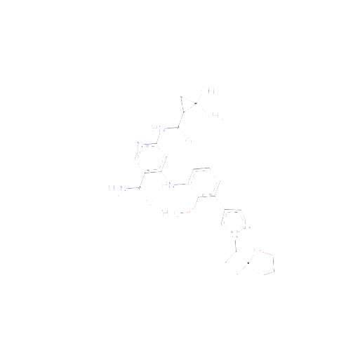 COc1c(Nc2cc(NC(=O)C3CC3(C)C)ncc2C(N)=O)cccc1-c1cnn(C2CCC23OCCO3)c1